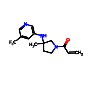 C=CC(=O)N1CCC(C)(Nc2cncc(C(F)(F)F)c2)C1